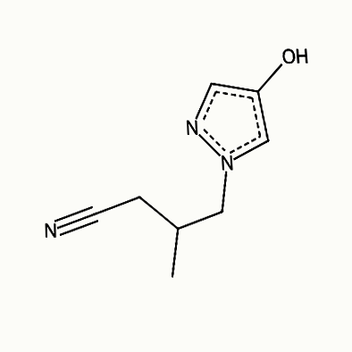 CC(CC#N)Cn1cc(O)cn1